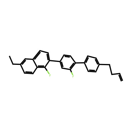 C=CCCc1ccc(-c2ccc(-c3ccc4cc(CC)ccc4c3F)cc2F)cc1